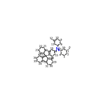 Cc1cccc(N(c2cccc(C)c2)c2ccc3c(c2)-c2ccccc2C32c3ccccc3-c3ccccc32)c1